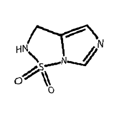 O=S1(=O)NCc2cncn21